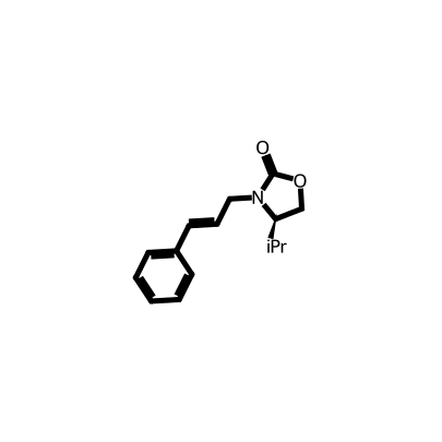 CC(C)[C@@H]1COC(=O)N1CC=Cc1ccccc1